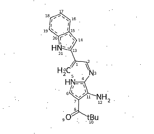 C=C(/C=N\c1[nH]cc(C(=O)C(C)(C)C)c1N)c1cc2ccccc2[nH]1